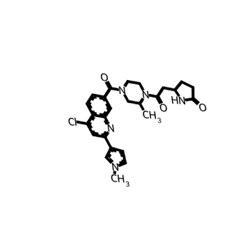 CC1CN(C(=O)c2ccc3c(Cl)cc(-c4ccn(C)c4)nc3c2)CCN1C(=O)CC1CCC(=O)N1